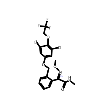 CNC(=O)/C(=N/OC)c1ccccc1COc1cc(Cl)c(OCC(F)(F)F)c(Cl)c1